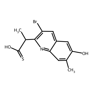 Cc1cc2nc(C(C)C(O)=S)c(Br)cc2cc1O